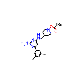 Cc1cc(C)cc(-c2cc(NCC3CCN(OC(=O)C(C)(C)C)CC3)nc(N)n2)c1